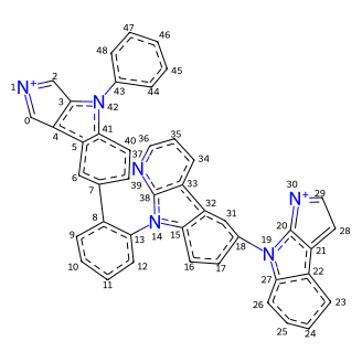 C1=[N+]=Cc2c1c1cc(-c3ccccc3-n3c4ccc(-n5c6c(c7ccccc75)=CC=[N+]=6)cc4c4cccnc43)ccc1n2-c1ccccc1